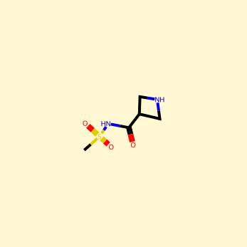 CS(=O)(=O)NC(=O)C1CNC1